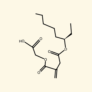 C=C(CC(=O)O[C@H](CC)CCCCC)C(=O)OCC(=O)O